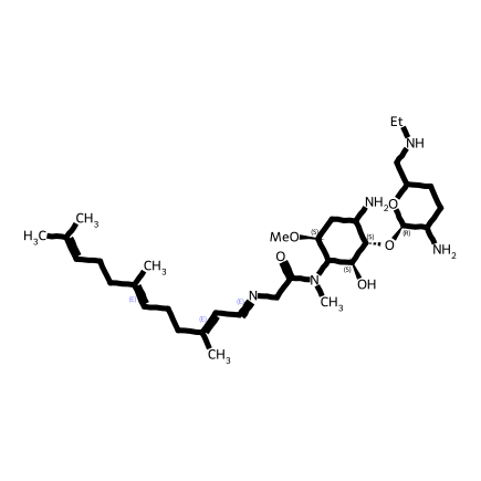 CCNCC1CCC(N)[C@@H](O[C@H]2C(N)C[C@H](OC)C(N(C)C(=O)C/N=C/C=C(\C)CC/C=C(\C)CCC=C(C)C)[C@@H]2O)O1